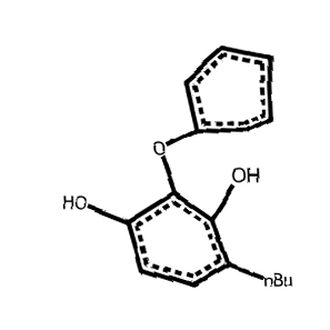 CCCCc1ccc(O)c(Oc2ccccc2)c1O